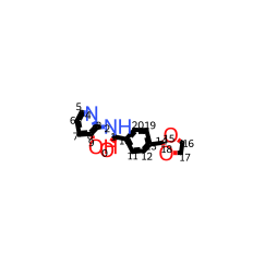 O=C(Nc1ncccc1O)c1ccc(C2OCCO2)cc1